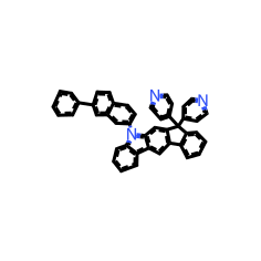 c1ccc(-c2ccc3ccc(-n4c5ccccc5c5cc6c(cc54)C(c4ccncc4)(c4ccncc4)c4ccccc4-6)cc3c2)cc1